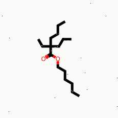 CCCCCCOC(=O)C(CC)(CCC)CCCC